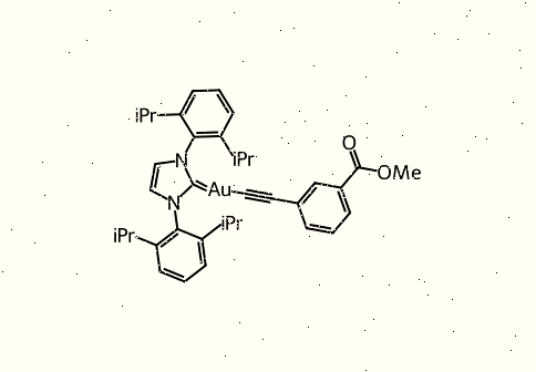 COC(=O)c1cccc(C#[C][Au]=[c]2n(-c3c(C(C)C)cccc3C(C)C)ccn2-c2c(C(C)C)cccc2C(C)C)c1